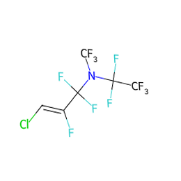 FC(=CCl)C(F)(F)N(C(F)(F)F)C(F)(F)C(F)(F)F